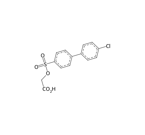 O=C(O)COS(=O)(=O)c1ccc(-c2ccc(Cl)cc2)cc1